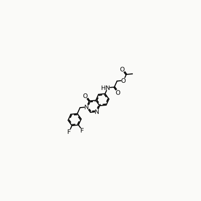 CC(=O)OCC(=O)Nc1ccc2ncn(Cc3ccc(F)c(F)c3)c(=O)c2c1